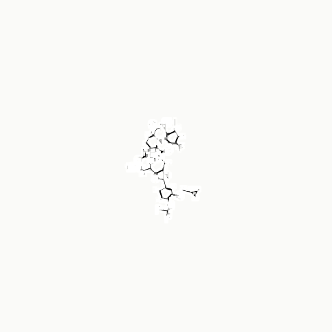 CN(C(=O)c1cccc(C(=O)NCc2nc(-c3ccc(OC(F)F)c(OCC4CC4)c3)oc2C(CC(C)(C)C)OC(N)=O)n1)c1ccc(F)cc1